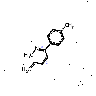 C=C/C=C\C(=N/C)c1ccc(C)cc1